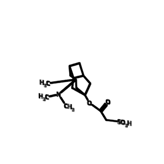 CN(C)C1(C)CC2CC3CC(OC(=O)CS(=O)(=O)O)(CC32)C1